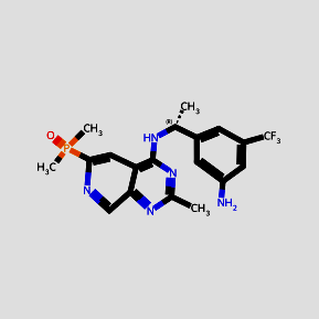 Cc1nc(N[C@H](C)c2cc(N)cc(C(F)(F)F)c2)c2cc(P(C)(C)=O)ncc2n1